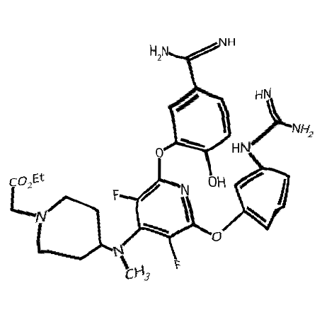 CCOC(=O)CN1CCC(N(C)c2c(F)c(Oc3cccc(NC(=N)N)c3)nc(Oc3cc(C(=N)N)ccc3O)c2F)CC1